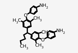 CCCCC(c1cc(C)c(Oc2ccc(N)cc2)c(C)c1)c1cc(C)c(Oc2ccc(N)cc2)c(C)c1